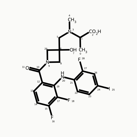 CC(C(=O)O)N(C)CC1(O)CN(C(=O)c2ccc(F)c(F)c2Nc2ccc(I)cc2F)C1